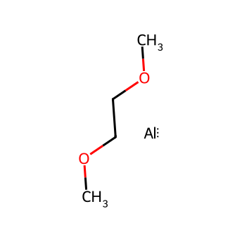 COCCOC.[Al]